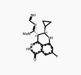 CN/C(=N\C=N)[C@H]1c2n[nH]c(=O)c3cc(F)cc(c23)N[C@@H]1C1CC1